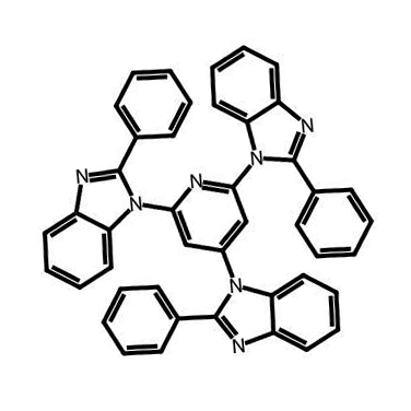 c1ccc(-c2nc3ccccc3n2-c2cc(-n3c(-c4ccccc4)nc4ccccc43)nc(-n3c(-c4ccccc4)nc4ccccc43)c2)cc1